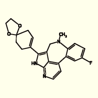 CN1Cc2c(C3=CCC4(CC3)OCCO4)[nH]c3nccc(c23)-c2cc(F)ccc21